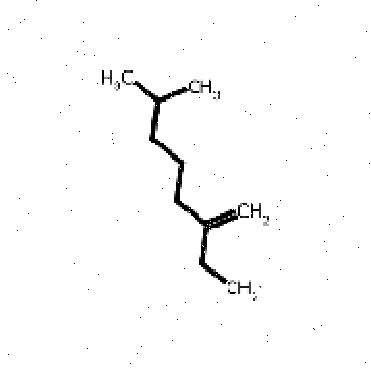 [CH2]CC(=C)CCCC(C)C